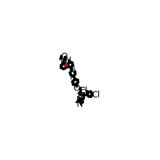 Clc1ccc(C2(Cn3cncn3)OCC(COc3ccc(N4CCN(c5ccc(/N=C6/OCCN6c6ccccc6)cc5)CC4)cc3)O2)c(Cl)c1